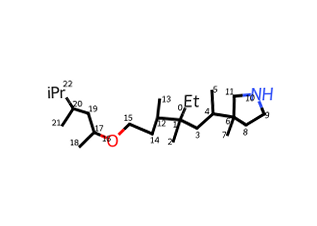 CCC(C)(CC(C)C1(C)CCNC1)C(C)CCOC(C)CC(C)C(C)C